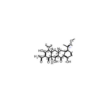 CO/N=C(\C)c1ccc(O)c2c1C[C@H]1C[C@H]3[C@H](N(C)C)C(O)=C(C(N)=O)C(=O)[C@@]3(O)C(O)=C1C2=O